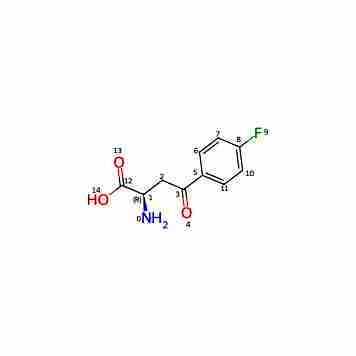 N[C@H](CC(=O)c1ccc(F)cc1)C(=O)O